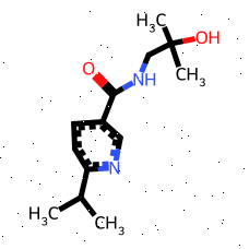 CC(C)c1ccc(C(=O)NCC(C)(C)O)cn1